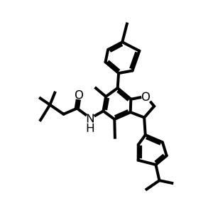 Cc1ccc(-c2c(C)c(NC(=O)CC(C)(C)C)c(C)c3c2OCC3c2ccc(C(C)C)cc2)cc1